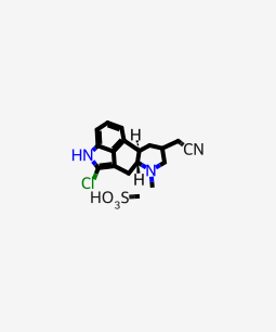 CN1CC(CC#N)C[C@@H]2c3cccc4[nH]c(Cl)c(c34)C[C@H]21.CS(=O)(=O)O